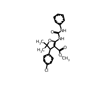 COC(=O)C1=C(NC(=O)Nc2ccccc2)OC(C)(C)C1c1ccc(Cl)cc1